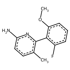 COc1cccc(F)c1-c1nc(N)ccc1C